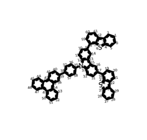 c1ccc2c(c1)sc1c(-c3ccc4c(c3)c3cc(-c5cccc6c5sc5ccccc56)ccc3n4-c3ccc(-c4ccc5c6ccccc6c6ccccc6c5c4)cc3)cccc12